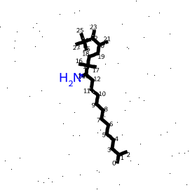 CC(C)CCCCCCCCCCC(N)C(C)(C)CCC(C)C(C)C(C)(C)C